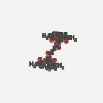 C=C(C)C(=O)OCC(COC)(COC(=O)CCCCC(=O)OCC(COC)(COC(=O)C(=C)C)COC(=O)C(=C)C)COC(=O)C(=C)C